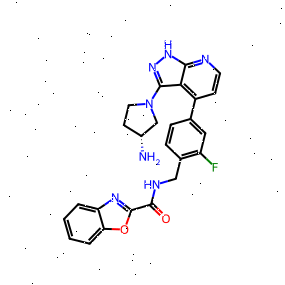 N[C@@H]1CCN(c2n[nH]c3nccc(-c4ccc(CNC(=O)c5nc6ccccc6o5)c(F)c4)c23)C1